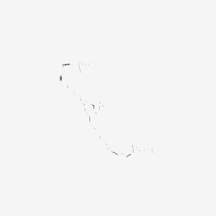 CCCCC/C=C\C/C=C\CCCCCCCCC(CCCCCCCC/C=C\C/C=C\CCCCC)OC(=O)CCC